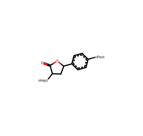 CCCCCCCC1CC(c2ccc(CCCCC)cc2)OC1=O